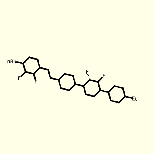 CCCCC1CCC(CCC2CCC(C3CCC(C4CCC(CC)CC4)C(F)[C@H]3F)CC2)C(F)C1F